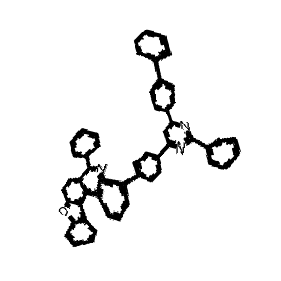 c1ccc(-c2ccc(-c3cc(-c4ccc(-c5cccc6c5nc(-c5ccccc5)c5ccc7oc8ccccc8c7c56)cc4)nc(-c4ccccc4)n3)cc2)cc1